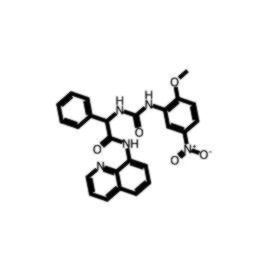 COc1ccc([N+](=O)[O-])cc1NC(=O)NC(C(=O)Nc1cccc2cccnc12)c1ccccc1